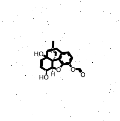 CN1CC[C@]23c4c5ccc(OC=O)c4O[C@H]2[C@@H](O)C=CC3(O)C1C5